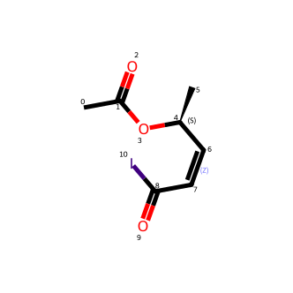 CC(=O)O[C@@H](C)/C=C\C(=O)I